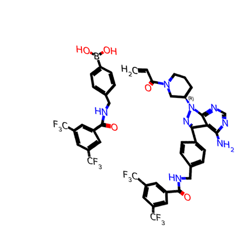 C=CC(=O)N1CCC[C@@H](n2nc(-c3ccc(CNC(=O)c4cc(C(F)(F)F)cc(C(F)(F)F)c4)cc3)c3c(N)ncnc32)C1.O=C(NCc1ccc(B(O)O)cc1)c1cc(C(F)(F)F)cc(C(F)(F)F)c1